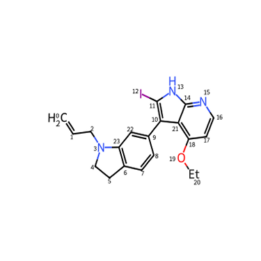 C=CCN1CCc2ccc(-c3c(I)[nH]c4nccc(OCC)c34)cc21